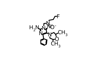 CC1CN(C2=C(c3ccccc3)N=C(N)N3CN(CCCF)[N+]([O-])=C23)CC(C)O1